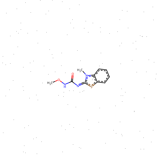 CONC(=O)N=c1sc2ccccc2n1C